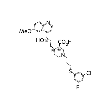 COc1ccc2nccc([C@@H](O)CC[C@@H]3CCN(CCCSc4cc(F)cc(Cl)c4)C[C@@H]3C(=O)O)c2c1